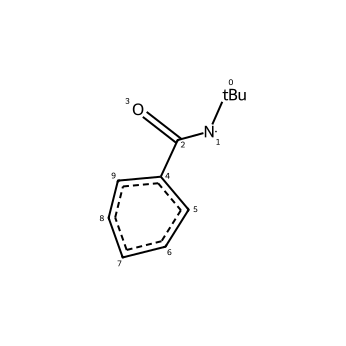 CC(C)(C)[N]C(=O)c1ccccc1